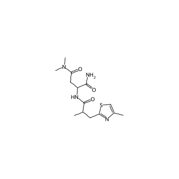 Cc1csc(CC(C)C(=O)NC(CC(=O)N(C)C)C(N)=O)n1